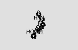 Cc1cccc([C@@H](CO)NC(=O)[C@@H](C)N2Cc3ccc(-c4ccnc(NC5CCOCC5)n4)c(F)c3C2=O)c1